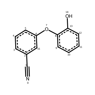 N#Cc1cccc(Oc2ccccc2O)c1